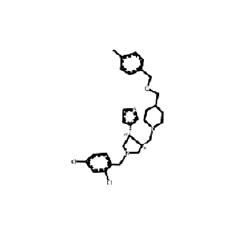 Cc1ccc(COCC2CCN(C[C@H]3CN(Cc4ccc(Cl)cc4Cl)C[C@@H]3c3ccsc3)CC2)cc1